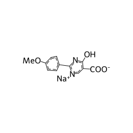 COc1ccc(-c2ncc(C(=O)[O-])c(O)n2)cc1.[Na+]